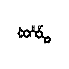 COc1cc(-c2cccs2)ccc1Nc1cc2c(cn1)ncn2C